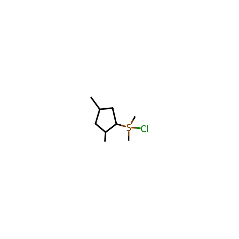 CC1CC(C)C(S(C)(C)Cl)C1